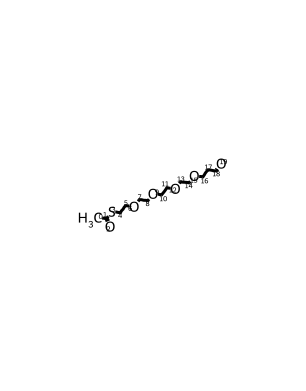 CC(=O)SCCOCCOCCOCCOCCC=O